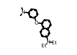 CCN(CC)c1ccc2c(Oc3cccc(N(C)C)c3)cccc2c1